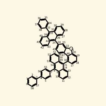 c1ccc(-c2ccc(-c3c4ccccc4c(-c4cccc5oc6cc(-c7c8ccccc8c(-c8ccccc8)c8ccccc78)ccc6c45)c4ccccc34)cc2)cc1